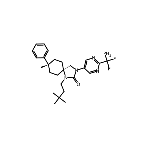 CC(C)(C)CCN1C(=O)N(c2cnc(C(F)(F)P)nc2)C[C@]12CC[C@@](C)(c1ccccc1)CC2